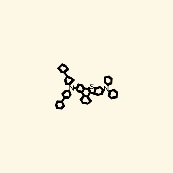 c1ccc(-c2ccc(N(c3ccc(-c4ccccc4)cc3)c3ccc4c(c3)c3ccccc3c3c5ccc(N(c6ccccc6)c6ccccc6)cc5sc43)cc2)cc1